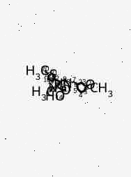 COc1cccc(CNCc2c(C(=O)O)n(C)c3cc(C)sc23)c1